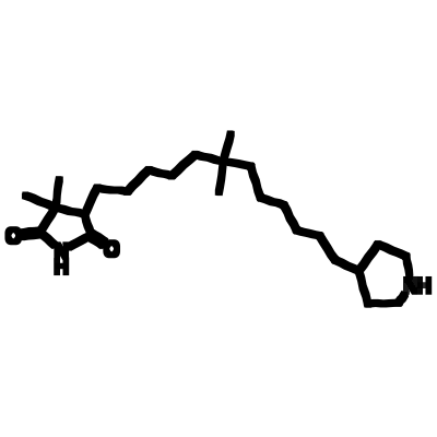 CC(C)(CCCCCCC1CCNCC1)CCCCCC1C(=O)NC(=O)C1(C)C